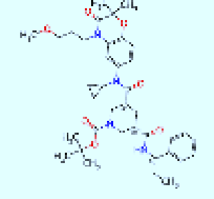 CC[C@H](NC(=O)[C@H]1C[C@@H](C(=O)N(c2ccc3c(c2)N(CCCOC)C(=O)C(C)(C)O3)C2CC2)CN(C(=O)OC(C)(C)C)C1)c1ccccc1